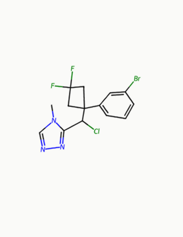 Cn1cnnc1C(Cl)C1(c2cccc(Br)c2)CC(F)(F)C1